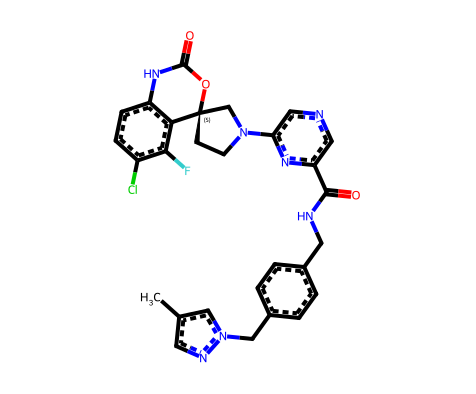 Cc1cnn(Cc2ccc(CNC(=O)c3cncc(N4CC[C@]5(C4)OC(=O)Nc4ccc(Cl)c(F)c45)n3)cc2)c1